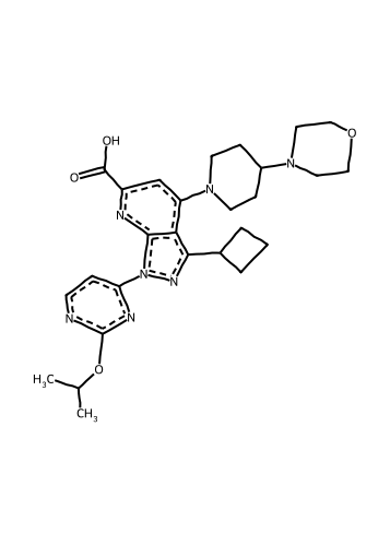 CC(C)Oc1nccc(-n2nc(C3CCC3)c3c(N4CCC(N5CCOCC5)CC4)cc(C(=O)O)nc32)n1